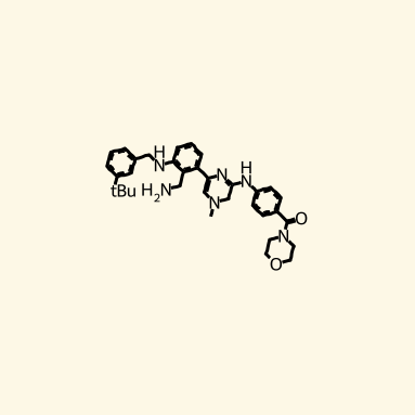 CN1C=C(c2cccc(NCc3cccc(C(C)(C)C)c3)c2CN)N=C(Nc2ccc(C(=O)N3CCOCC3)cc2)C1